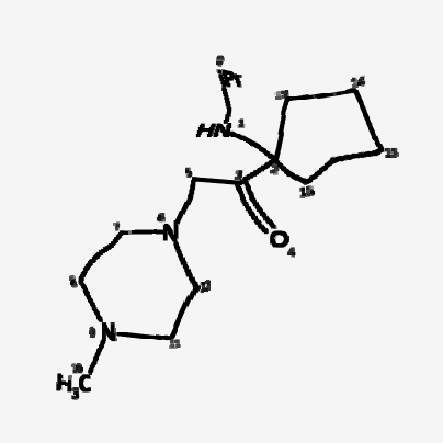 CC(C)NC1(C(=O)CN2CCN(C)CC2)CCCC1